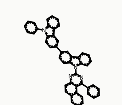 c1ccc(-c2nc(-n3c4ccccc4c4cc(-c5ccc6c(c5)c5ccccc5n6-c5ccccc5)ccc43)nc3ccc4ccccc4c23)cc1